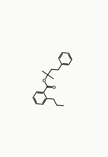 CCCc1ccccc1C(=O)OC(C)(C)CCc1ccccc1